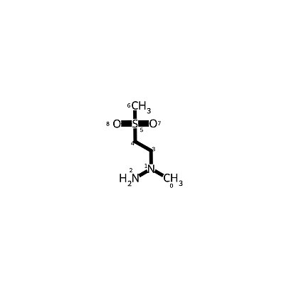 CN(N)CCS(C)(=O)=O